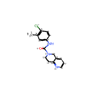 O=C(Nc1ccc(Cl)c(C(F)(F)F)c1)N1CCc2ncccc2C1